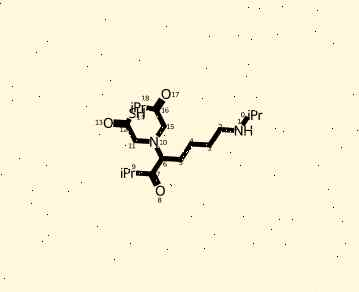 CC(C)NCCCCC(C(=O)C(C)C)N(CC(=O)S)CC(=O)C(C)C